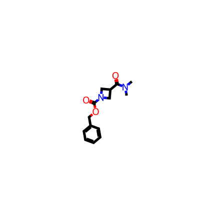 CN(C)C(=O)C1CN(C(=O)OCc2ccccc2)C1